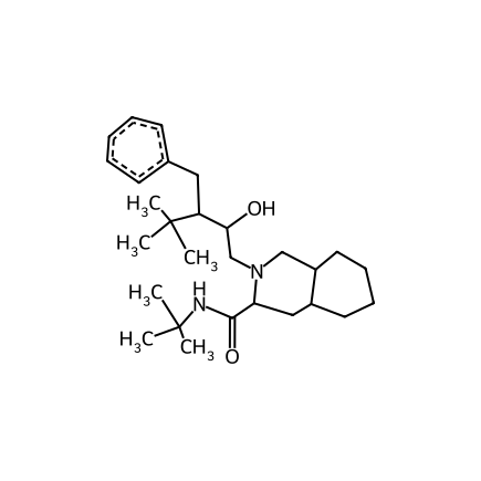 CC(C)(C)NC(=O)C1CC2CCCCC2CN1CC(O)C(Cc1ccccc1)C(C)(C)C